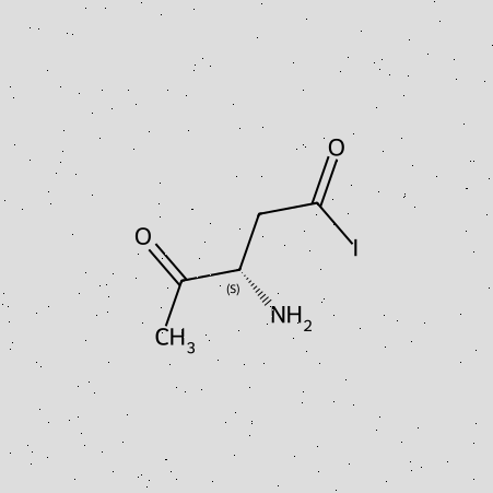 CC(=O)[C@@H](N)CC(=O)I